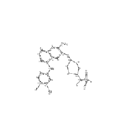 COc1cc2ncnc(Nc3ccc(F)c(Cl)c3)c2cc1OC1CCC(N(C)S(C)(=O)=O)CC1